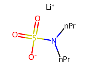 CCCN(CCC)S(=O)(=O)[O-].[Li+]